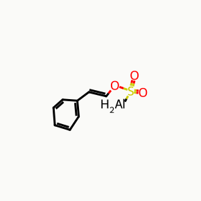 O=[S](=O)([AlH2])OC=Cc1ccccc1